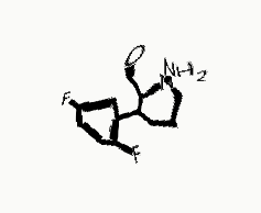 NN1CCCC(c2cc(F)ccc2F)C1C=O